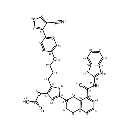 N#Cc1cscc1-c1ccc(OCCCc2sc(N3CCc4cccc(C(=O)Nc5nc6ccccc6s5)c4C3)nc2OC(=O)O)cc1